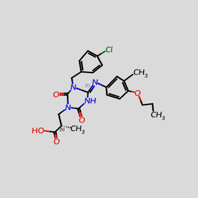 CCCOc1ccc(/N=c2\[nH]c(=O)n(C[C@H](C)C(=O)O)c(=O)n2Cc2ccc(Cl)cc2)cc1C